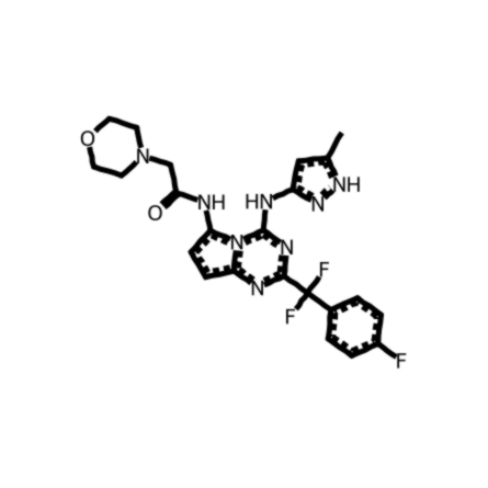 Cc1cc(Nc2nc(C(F)(F)c3ccc(F)cc3)nc3ccc(NC(=O)CN4CCOCC4)n23)n[nH]1